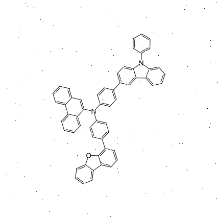 c1ccc(-n2c3ccccc3c3cc(-c4ccc(N(c5ccc(-c6cccc7c6oc6ccccc67)cc5)c5cc6ccccc6c6ccccc56)cc4)ccc32)cc1